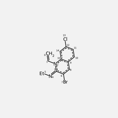 C=Cn1/c(=N\CC)c(Br)cc2ccc(Cl)cc21